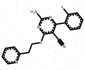 N#Cc1c(SCCc2ccccn2)nc(N)nc1-c1ccccc1F